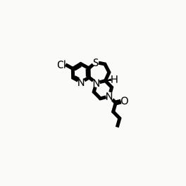 CCCC(=O)N1CCN2c3ncc(Cl)cc3SCC[C@@H]2C1